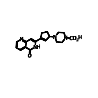 O=C(O)N1CCN(C2C=C(c3cc4ncccc4c(=O)[nH]3)CC2)CC1